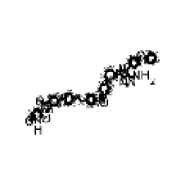 Nc1ncnc2c1c(-c1ccc(Oc3ccccc3)cc1)nn2C1CCCN(C2CCN(C(=O)N3CCC(CCC4CCN(c5ccc6c(c5)CN(C5CCC(=O)NC5=O)C6=O)CC4)CC3)CC2)C1